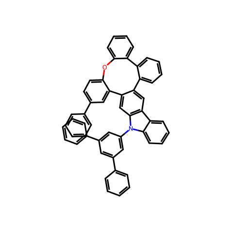 c1ccc(-c2cc(-c3ccccc3)cc(-n3c4ccccc4c4cc5c(cc43)c3cc(-c4ccccc4)ccc3oc3ccccc3c3ccccc35)c2)cc1